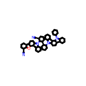 N#Cc1cccc(-c2ccccc2-n2c3ccccc3c3c2ccc2c4ccccc4n(-c4ccccc4)c23)c1-n1c2ccccc2c2c3oc4c(C#N)cccc4c3ccc21